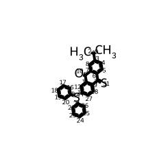 CC(C)c1ccc2c(c1)C(=O)c1cc([S+](c3ccccc3)c3ccccc3)ccc1C2=S